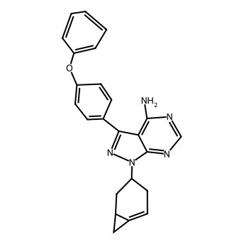 Nc1ncnc2c1c(-c1ccc(Oc3ccccc3)cc1)nn2C1CC=C2CC2C1